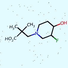 CC(C)(CN1CCC(O)C(F)C1)C(=O)O